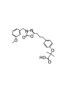 COc1cccc(Cn2nc(CCCc3ccc(OC(C)(C)C(=O)O)cc3)oc2=O)c1